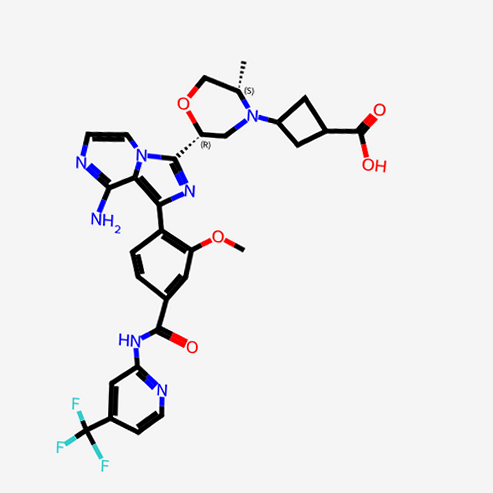 COc1cc(C(=O)Nc2cc(C(F)(F)F)ccn2)ccc1-c1nc([C@H]2CN(C3CC(C(=O)O)C3)[C@@H](C)CO2)n2ccnc(N)c12